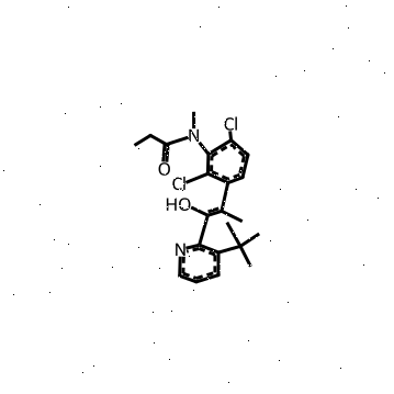 CCC(=O)N(C)c1c(Cl)ccc(/C(C)=C(\O)c2ncccc2C(C)(C)C)c1Cl